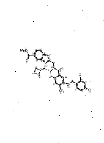 COC(=O)c1ccc2nc(CN3CCc4cc(C(F)(F)F)c(OCc5ccc(Cl)cc5F)nc4[C@@H]3C)n(C[C@@H]3CCO3)c2c1